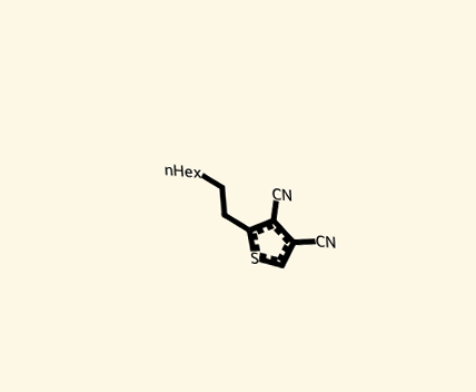 CCCCCCCCc1scc(C#N)c1C#N